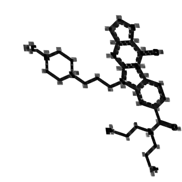 CC(C)CCN(CCC(C)C)C(=O)c1ccc2c(c1)n(CCCN1CCN(C)CC1)c1nc3ccsc3c(=O)n21